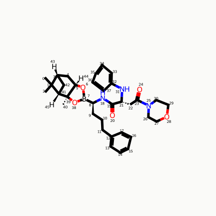 CC1(C)[C@@H]2C[C@H]3OB([C@H](CCCc4ccccc4)NC(=O)[C@@H](CC(=O)N4CCOCC4)Nc4ccccc4)O[C@@]3(C)[C@H]1C2